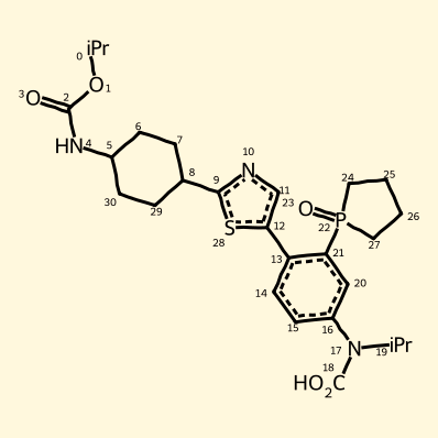 CC(C)OC(=O)NC1CCC(c2ncc(-c3ccc(N(C(=O)O)C(C)C)cc3P3(=O)CCCC3)s2)CC1